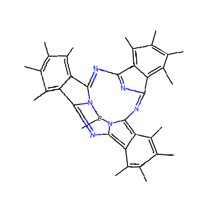 CB1n2c3c4c(C)c(C)c(C)c(C)c4c2/N=C2N=C(/N=c4/c5c(C)c(C)c(C)c(C)c5c(n41)=N3)c1c(C)c(C)c(C)c(C)c1\2